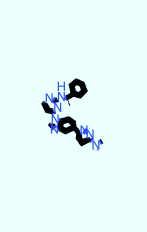 C[C@H](Nc1nccc(-n2cnc3cc(-c4ccc(N(C)C)nn4)ccc32)n1)c1ccccc1